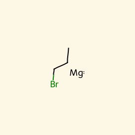 CCCBr.[Mg]